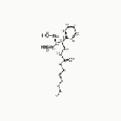 CCCCCCCC(=O)OCC(C(C=N)=NO)c1ccccc1